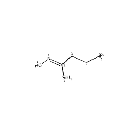 CC(C)CCC([SiH3])=NO